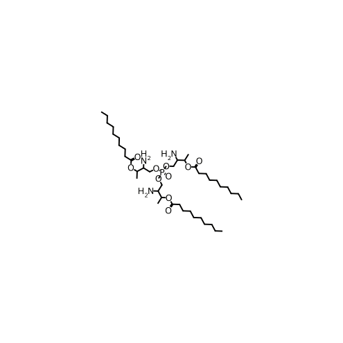 CCCCCCCCCC(=O)OC(C)C(N)COP(=O)(OCC(N)C(C)OC(=O)CCCCCCCCC)OCC(N)C(C)OC(=O)CCCCCCCCC